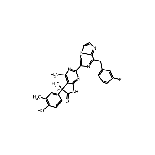 Cc1cc([C@@]2(C)C(=O)Nc3nc(-c4cn5ccnc5c(Cc5cccc(F)c5)n4)nc(N)c32)ccc1O